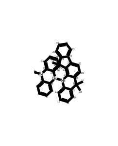 CN1c2ccccc2B(N2c3ccccc3C(C)(C)c3ccc4c(c32)C(C)(C)c2ccccc2-4)c2ccccc21